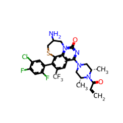 C=CC(=O)N1[C@H](C)CN(c2nc(=O)n3c4c(c(-c5cc(Cl)c(F)cc5F)c(C(F)(F)F)cc24)SCC(N)C3)C[C@@H]1C